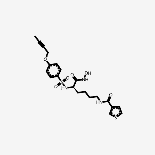 CC#CCOc1ccc(S(=O)(=O)N[C@H](CCCCNC(=O)c2ccsc2)C(=O)NO)cc1